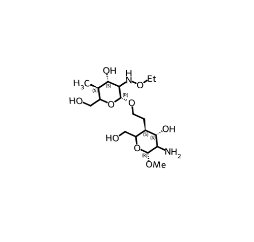 CCONC1[C@H](OCC[C@@H]2C(CO)O[C@@H](OC)C(N)[C@H]2O)OC(CO)[C@@H](C)[C@@H]1O